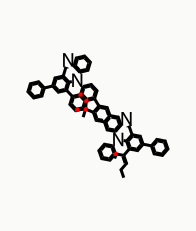 C=C/C(=C\CC)c1cc(-c2ccccc2)cc(C#N)c1N(c1ccccc1)c1ccc2cc3c(cc2c1)C(C)(C)c1cc(N(c2ccccc2)c2c(C#N)cc(-c4ccccc4)cc2-c2ccccc2)ccc1-3